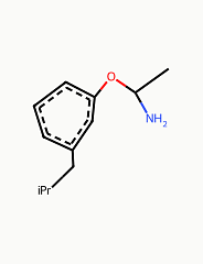 CC(C)Cc1cccc(OC(C)N)c1